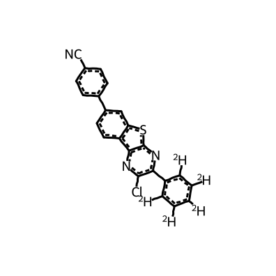 [2H]c1c([2H])c([2H])c(-c2nc3sc4cc(-c5ccc(C#N)cc5)ccc4c3nc2Cl)c([2H])c1[2H]